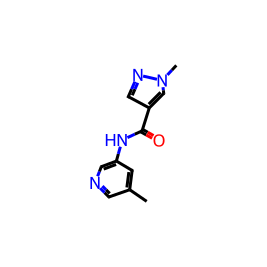 Cc1cncc(NC(=O)c2cnn(C)c2)c1